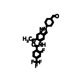 COc1cc2nn(C3CCC(C=O)CC3)cc2cc1NC(=O)c1ccc(C(F)(F)F)cc1F